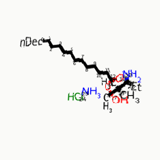 CCCCCCCCCCCCCCCCCCCCCC(=O)OC(C)(O)C(C)(C)C(N)CC.Cl.N